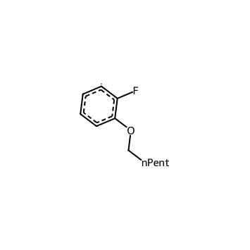 CCCCCCOc1ccc[c]c1F